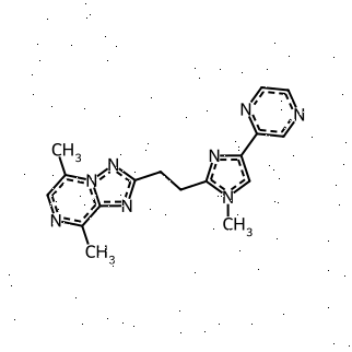 Cc1ncc(C)n2nc(CCc3nc(-c4cnccn4)cn3C)nc12